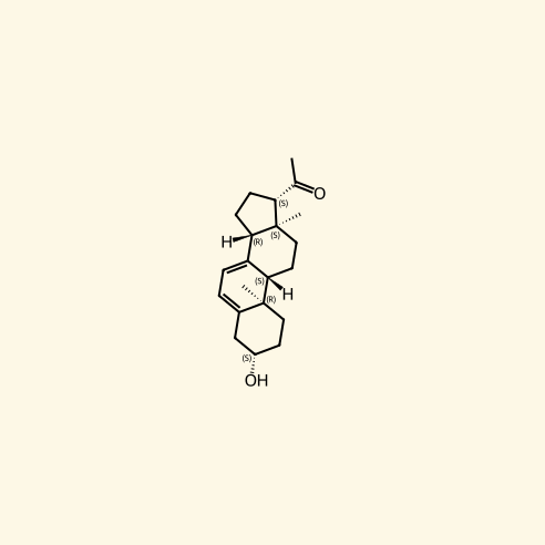 CC(=O)[C@H]1CC[C@H]2C3=CC=C4C[C@@H](O)CC[C@]4(C)[C@H]3CC[C@]12C